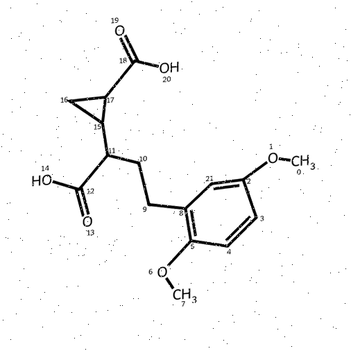 COc1ccc(OC)c(CCC(C(=O)O)C2CC2C(=O)O)c1